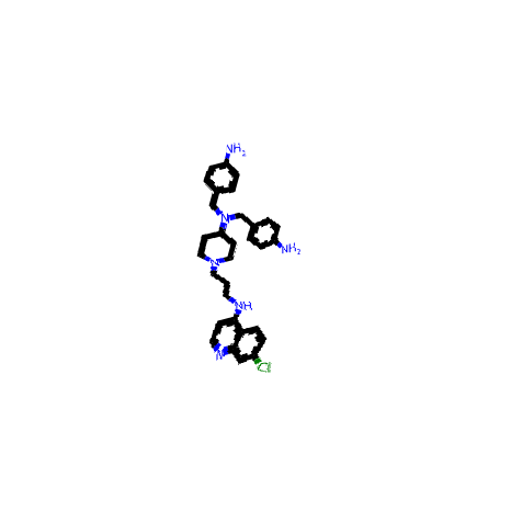 Nc1ccc(CN(Cc2ccc(N)cc2)C2CCN(CCCNc3ccnc4cc(Cl)ccc34)CC2)cc1